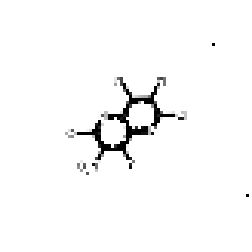 O=[N+]([O-])c1c(Cl)nc2c(Cl)c(Cl)c(Cl)nc2c1Cl